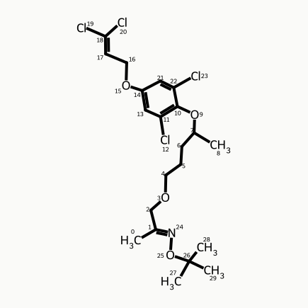 CC(COCCCC(C)Oc1c(Cl)cc(OCC=C(Cl)Cl)cc1Cl)=NOC(C)(C)C